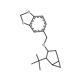 CC(C)(C)C1C(OCc2ccc3c(c2)OCO3)CC2CC21